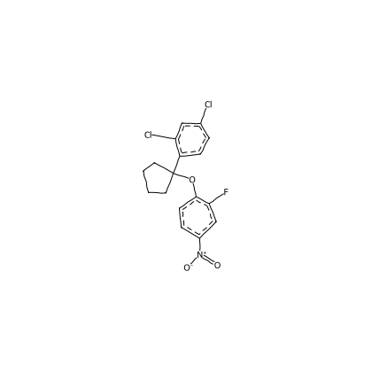 O=[N+]([O-])c1ccc(OC2(c3ccc(Cl)cc3Cl)CCCC2)c(F)c1